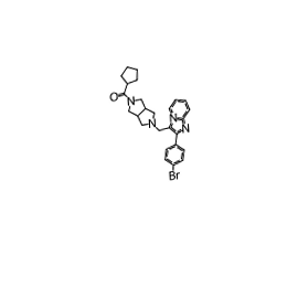 O=C(C1CCCC1)N1CC2CN(Cc3c(-c4ccc(Br)cc4)nc4ccccn34)CC2C1